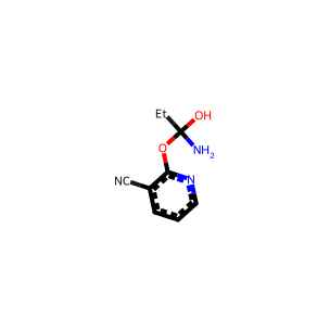 CCC(N)(O)Oc1ncccc1C#N